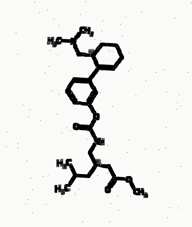 COC(=O)C[C@H](CNC(=O)Oc1cccc(C2=CCCC[C@@H]2CN(C)C)c1)CC(C)C